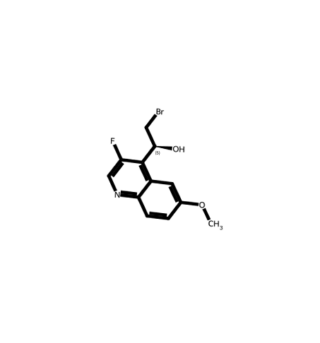 COc1ccc2ncc(F)c([C@H](O)CBr)c2c1